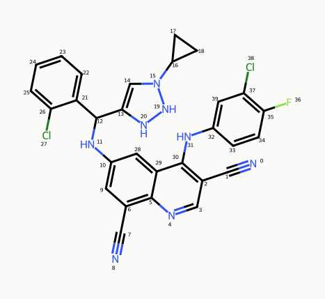 N#Cc1cnc2c(C#N)cc(NC(C3=CN(C4CC4)NN3)c3ccccc3Cl)cc2c1Nc1ccc(F)c(Cl)c1